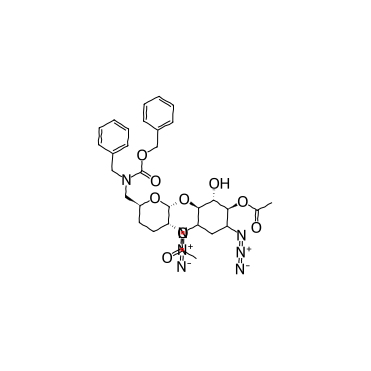 CC(=O)O[C@@H]1CC[C@@H](CN(Cc2ccccc2)C(=O)OCc2ccccc2)O[C@@H]1O[C@@H]1C(N=[N+]=[N-])CC(N=[N+]=[N-])[C@H](OC(C)=O)[C@H]1O